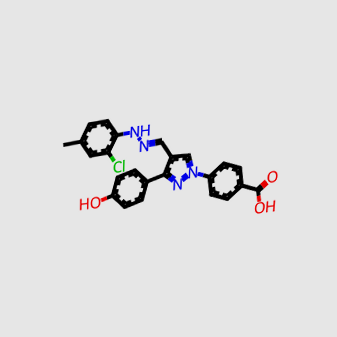 Cc1ccc(N/N=C/c2cn(-c3ccc(C(=O)O)cc3)nc2-c2ccc(O)cc2)c(Cl)c1